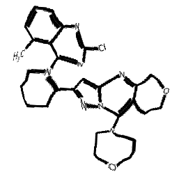 Cc1cccc2nc(Cl)nc(N3CCCCC3c3cc4nc5c(c(N6CCOCC6)n4n3)CCOC5)c12